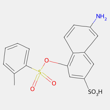 Cc1ccccc1S(=O)(=O)Oc1cc(S(=O)(=O)O)cc2cc(N)ccc12